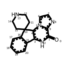 O=c1[nH]c2c(n3ccnc13)C1(CCNCC1)c1ccccc1-2